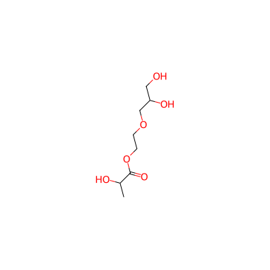 CC(O)C(=O)OCCOCC(O)CO